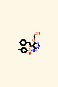 Cc1ccc(S(=O)(=O)Nc2ncnc(OCCO)c2C=Cc2ccccc2)cc1